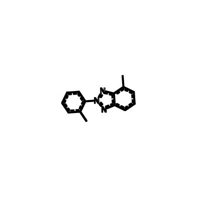 Cc1ccccc1-n1nc2cccc(C)c2n1